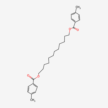 Cc1ccc(C(=O)OCCCCCCCCCCCCOC(=O)c2ccc(C)cc2)cc1